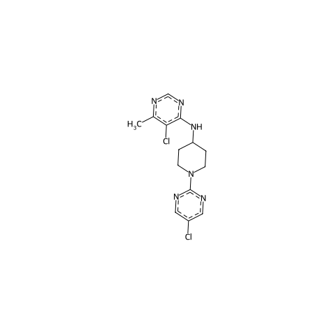 Cc1ncnc(NC2CCN(c3ncc(Cl)cn3)CC2)c1Cl